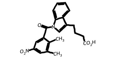 Cc1cc([N+](=O)[O-])cc(C(=O)n2cc(CCCC(=O)O)c3ccccc32)c1C